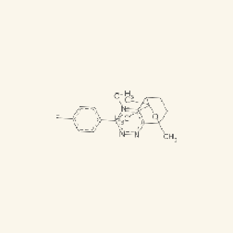 CC12CCC(c3c1nnc(-c1ccc(F)cc1)[n+]3[O-])C(C)(C)O2